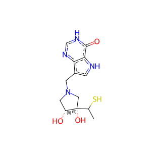 CC(S)[C@]1(O)CN(Cc2c[nH]c3c(=O)[nH]cnc23)C[C@H]1O